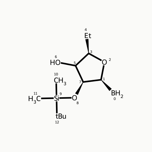 B[C@@H]1O[C@H](CC)C(O)[C@@H]1O[Si](C)(C)C(C)(C)C